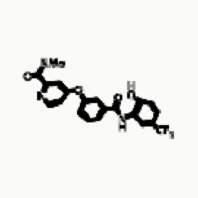 CNC(=O)c1cc(Oc2cccc(C(=O)Nc3cc(C(F)(F)F)ccc3O)c2)ccn1